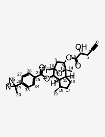 C#CC[C@@H](O)C(=O)O[C@@H]1CC2(C(C)C)O[C@@]1(C)[C@@H]1CC[C@@H](C)[C@H]1C2OC(=O)c1ccc(C2(C)N=N2)cc1